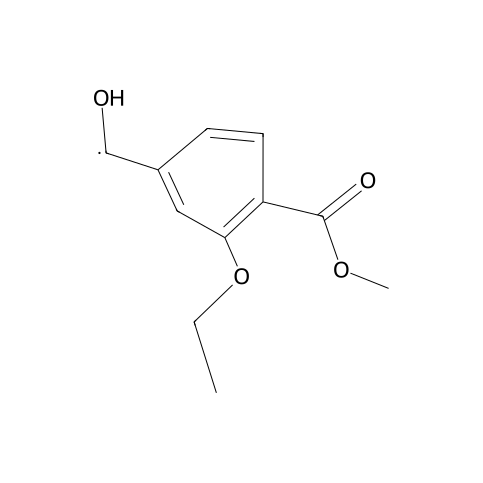 CCOc1cc([CH]O)ccc1C(=O)OC